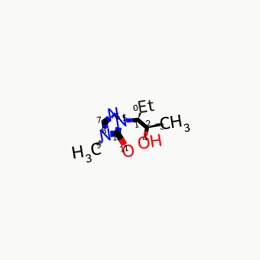 CC[C@H]([C@@H](C)O)n1ncn(C)c1=O